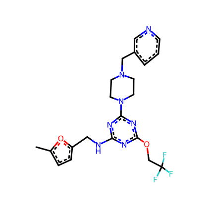 Cc1ccc(CNc2nc(OCC(F)(F)F)nc(N3CCN(Cc4cccnc4)CC3)n2)o1